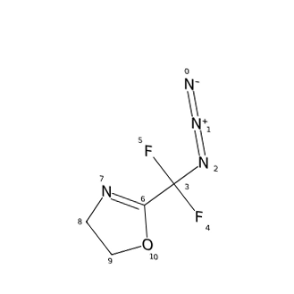 [N-]=[N+]=NC(F)(F)C1=NCCO1